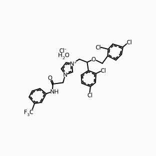 O.O=C(Cn1cc[n+](CC(OCc2ccc(Cl)cc2Cl)c2ccc(Cl)cc2Cl)c1)Nc1cccc(C(F)(F)F)c1.[Cl-]